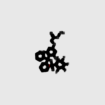 Cc1cc(OCC(=O)OC(C)(C)C)cc(C)c1S(OS(=O)(=O)c1c(F)c(F)c(F)c(F)c1F)(c1ccccc1)c1ccccc1